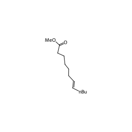 CCCCC=CCCCCCC(=O)OC